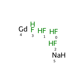 F.F.F.F.[Gd].[NaH]